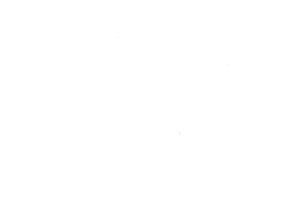 CCP(CC)CC.COC(=O)c1cc(C(=O)OC)cc(S(=O)(=O)O)c1